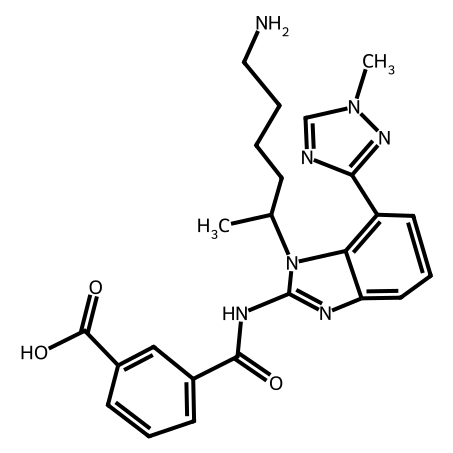 CC(CCCCN)n1c(NC(=O)c2cccc(C(=O)O)c2)nc2cccc(-c3ncn(C)n3)c21